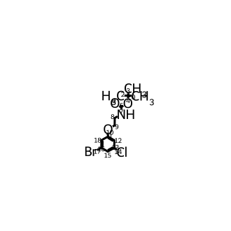 CC(C)(C)OC(=O)NCCOc1cc(Cl)cc(Br)c1